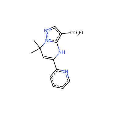 CCOC(=O)c1cnn2c1NC(c1ccccn1)=CC2(C)C